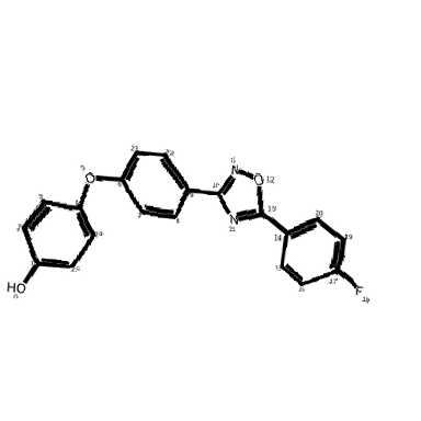 Oc1ccc(Oc2ccc(-c3noc(-c4ccc(F)cc4)n3)cc2)cc1